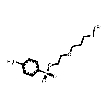 CCCOCCCOCCOS(=O)(=O)c1ccc(C)cc1